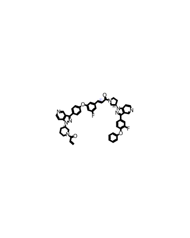 C=CC(=O)N1CCC[C@@H](n2nc(-c3ccc(Oc4cc(F)cc(/C=C/C(=O)N5CC[C@@H](n6nc(-c7ccc(Oc8ccccc8)c(F)c7)c7cnccc76)C5)c4)cc3)c3cnccc32)C1